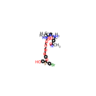 Cc1ncoc1-c1ccc([C@H](C)NC(=O)[C@@H]2CCCN2C(=O)C(NC(=O)COCCOCCOCCOc2ccc(Oc3c(-c4ccc(Br)cc4)sc4cc(O)ccc34)cc2)C(C)(C)C)cc1